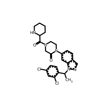 CC(c1ccc(Cl)cc1Cl)n1ncc2ccc(N3CCN(C(=O)C4CCCCN4)CC3=O)cc21